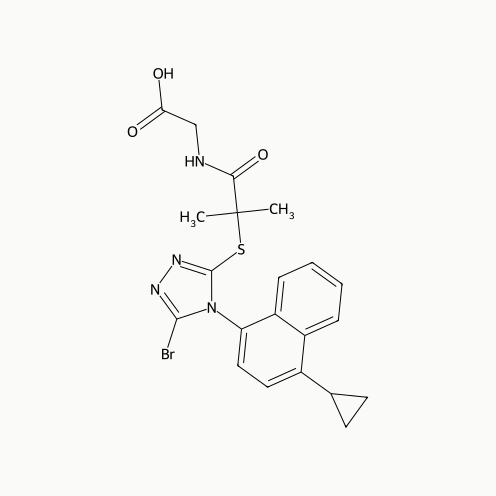 CC(C)(Sc1nnc(Br)n1-c1ccc(C2CC2)c2ccccc12)C(=O)NCC(=O)O